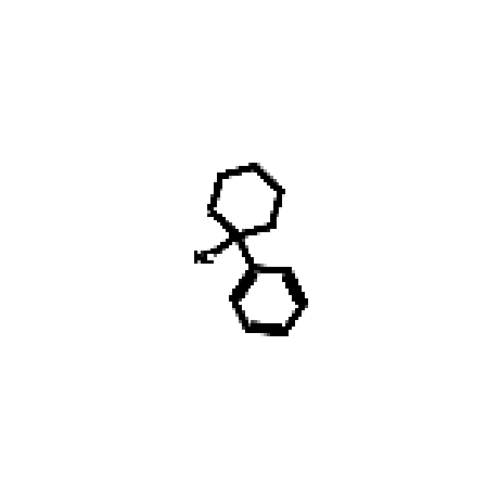 N#CC1(c2ccccc2)CCCCS1